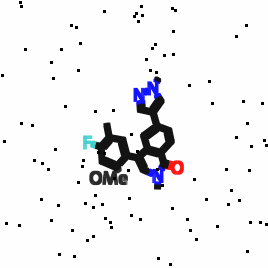 COc1cc(F)c(C)cc1-c1cn(C)c(=O)c2ccc(-c3cnn(C)c3)cc12